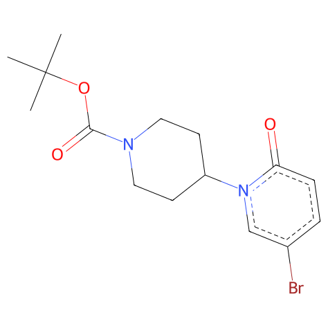 CC(C)(C)OC(=O)N1CCC(n2cc(Br)ccc2=O)CC1